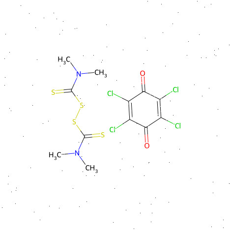 CN(C)C(=S)SSC(=S)N(C)C.O=C1C(Cl)=C(Cl)C(=O)C(Cl)=C1Cl